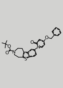 CC(C)(C)OC(=O)N1CCc2sc3ccc(-n4ccc(OCc5ccccc5)cc4=O)cc3c2CC1